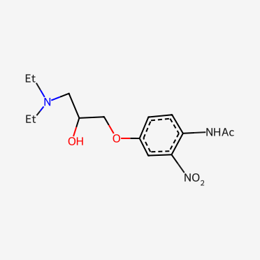 CCN(CC)CC(O)COc1ccc(NC(C)=O)c([N+](=O)[O-])c1